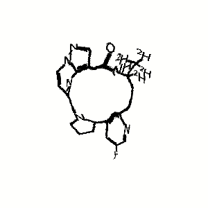 [2H]C([2H])([2H])C1([2H])CCc2ncc(F)cc2C2CCCN2c2ccn3ncc(c3n2)C(=O)N1